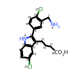 NCc1cc(-c2[nH]c3ccc(Cl)cc3c2CCCC(=O)O)ccc1Cl